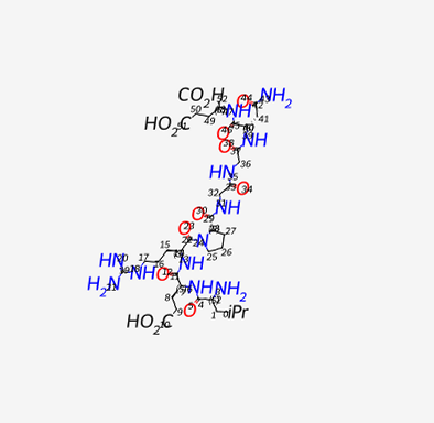 CC(C)C[C@H](N)C(=O)N[C@@H](CCC(=O)O)C(=O)N[C@@H](CCCNC(=N)N)C(=O)N1CCC[C@H]1C(=O)NCC(=O)NCC(=O)N[C@@H](CC(N)=O)C(=O)N[C@@H](CCC(=O)O)C(=O)O